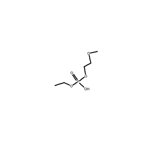 CCOP(=O)(O)OCCOC